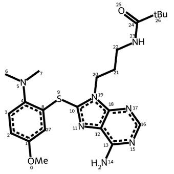 COc1ccc(N(C)C)c(Sc2nc3c(N)ncnc3n2CCCNC(=O)C(C)(C)C)c1